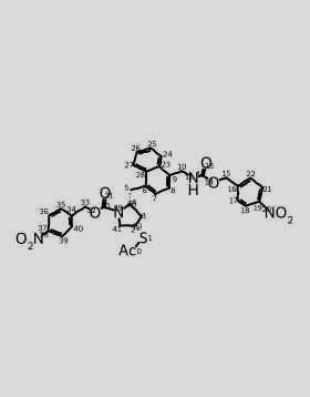 CC(=O)S[C@H]1C[C@@H](Cc2ccc(CNC(=O)OCc3ccc([N+](=O)[O-])cc3)c3ccccc23)N(C(=O)OCc2ccc([N+](=O)[O-])cc2)C1